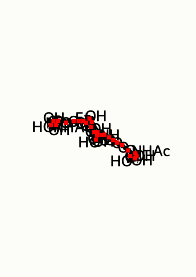 CCC(C)(CC(COP(=O)(O)O)NC(=O)COCCOCCOCCO[C@@H]1O[C@H](CO)[C@H](O)[C@H](O)[C@H]1NC(C)=O)OP(=O)(O)OCC1CC(O)(CC)N1C(=O)COCCOCCOCCO[C@@H]1O[C@H](CO)[C@H](O)[C@H](O)[C@H]1NC(C)=O